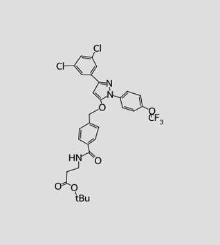 CC(C)(C)OC(=O)CCNC(=O)c1ccc(COc2cc(-c3cc(Cl)cc(Cl)c3)nn2-c2ccc(OC(F)(F)F)cc2)cc1